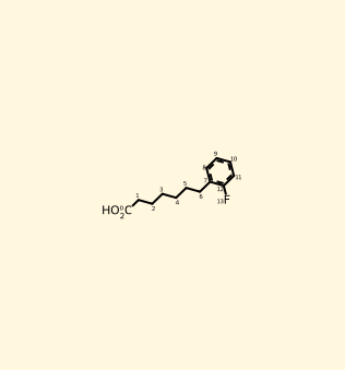 O=C(O)CCCCCCc1ccccc1F